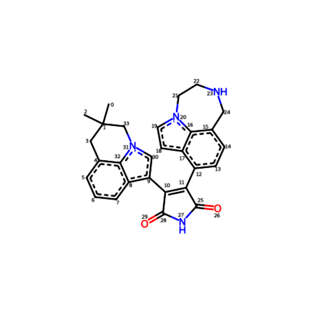 CC1(C)Cc2cccc3c(C4=C(c5ccc6c7c5ccn7CCNC6)C(=O)NC4=O)cn(c23)C1